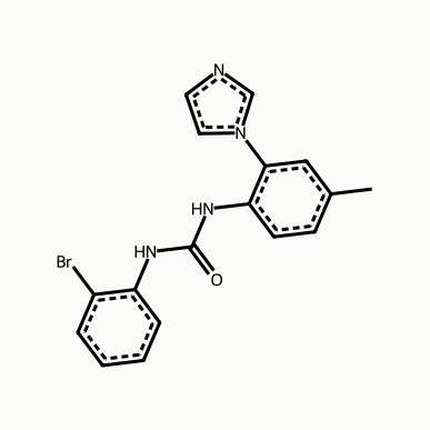 Cc1ccc(NC(=O)Nc2ccccc2Br)c(-n2ccnc2)c1